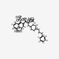 CN(CC1CCN(CCCc2ccccc2)CC1)C(=O)C1=CC2CNC3=CC=CC(=C1S(=O)(=O)O)N32.Cl.Cl